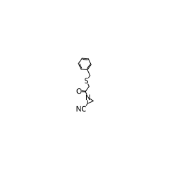 N#CC1CN1C(=O)CSCc1ccccc1